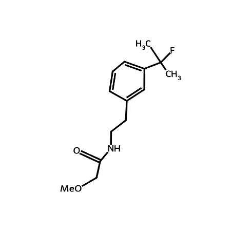 COCC(=O)NCCc1cccc(C(C)(C)F)c1